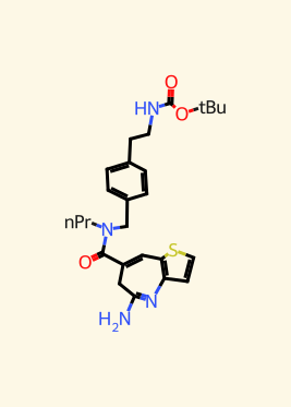 CCCN(Cc1ccc(CCNC(=O)OC(C)(C)C)cc1)C(=O)C1=Cc2sccc2N=C(N)C1